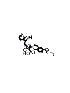 COc1ccc2c(c1)CCN(C1=C(C(=O)O)C(=O)/C(=C/c3c[nH]c4ncccc34)O1)C2